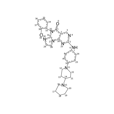 O=c1c2cnc(Nc3ccc(N4CCC(N5CCCCC5)CC4)cc3)nc2n2ccnc2n1-c1ccccc1Cl